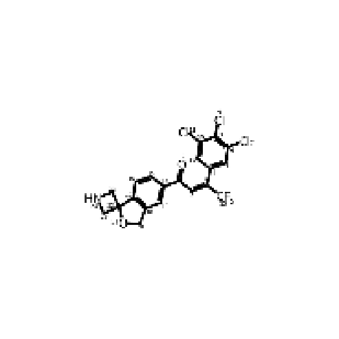 O=C(C=C(c1cc(Cl)c(Cl)c(Cl)c1)C(F)(F)F)c1ccc2c(c1)COC21CNC1